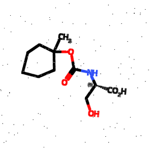 CC1(OC(=O)N[C@@H](CO)C(=O)O)CCCCC1